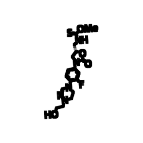 COC(=S)NC[C@H]1CN(c2ccc(N3C=NN(CCO)CC3)c(F)c2)C(=O)O1